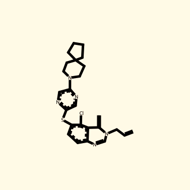 C=CCN1C=Nc2ccc(Sc3cnc(N4CCC5(CCCC5)CC4)cn3)c(Cl)c2C1=C